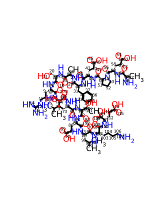 CC(C)C[C@H](NC(=O)[C@H](CCCNC(=N)N)NC(=O)[C@H](CO)NC(=O)[C@H](C)NC(=O)[C@H](Cc1ccccc1)NC(=O)[C@H](CCC(=O)O)NC(=O)[C@@H]1CCCN1C(=O)[C@H](CCC(=O)O)NC(=O)[C@H](C)N)C(=O)N[C@@H](CCC(=O)O)C(=O)N[C@H](C(=O)N[C@@H](CCC(=O)O)C(=O)N[C@@H](CC(C)C)C(=O)N[C@@H](CCCCN)C(=O)N[C@@H](CCC(=O)O)C(=O)O)[C@@H](C)O